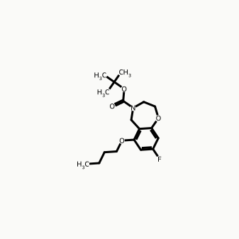 CCCCOc1cc(F)cc2c1CN(C(=O)OC(C)(C)C)CCO2